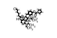 CCN(CC)c1ncc(NC(=O)CCCCCl)c(N[C@@H](Cc2ccc(OC(=O)N3CCCC3)cc2)C(=O)OC(C)(C)C)n1